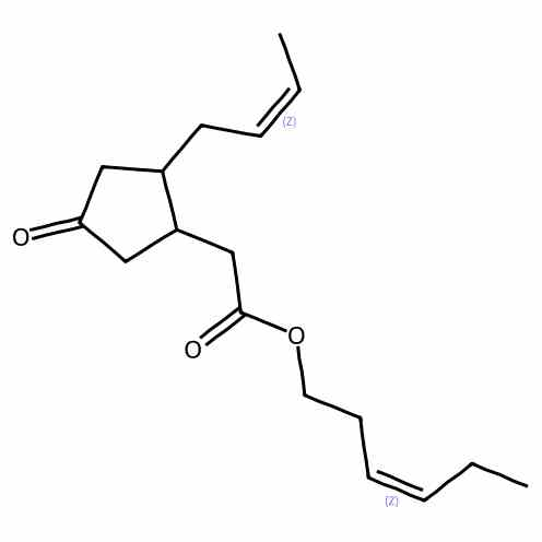 C/C=C\CC1CC(=O)CC1CC(=O)OCC/C=C\CC